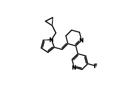 Fc1cncc(C2=NCCCC2=Cc2cccn2CC2CC2)c1